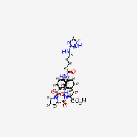 O=C(CCCCNC1=NCCN1)Nc1ccc(CC(NC(=O)C2CCCN2S(=O)(=O)c2ccccc2)C(=O)O)cc1